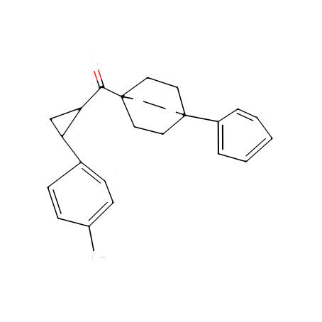 Cc1ccc(C2CC2C(=O)C23CCC(c4ccccc4)(CC2)CC3)cc1